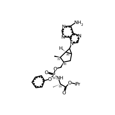 CC(C)OC(=O)[C@H](C)N[P@](=O)(OC[C@@H]1CC2C(n3cnc4c(N)ncnc43)[C@@H]2[C@@H]1C)Oc1ccccc1